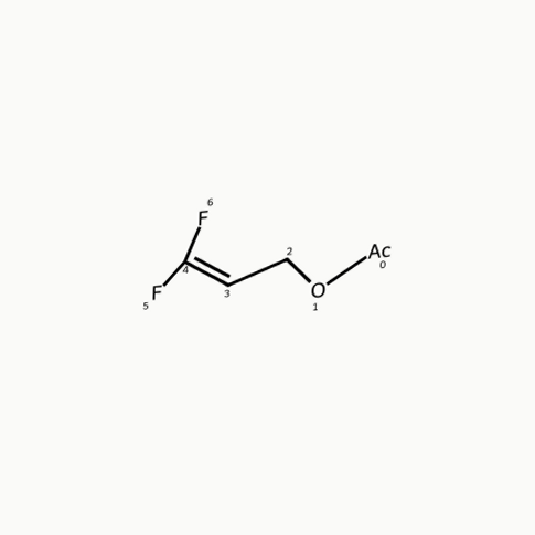 CC(=O)OCC=C(F)F